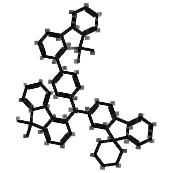 CC1(C)c2ccccc2-c2c(N(c3ccc(-c4cccc5c4C(C)(C)c4ccccc4-5)cc3)c3ccc4c(c3)C3(CCCCC3)c3ccccc3-4)cccc21